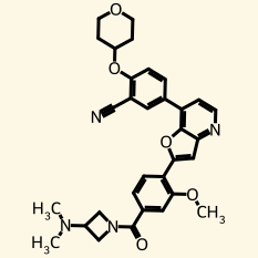 COc1cc(C(=O)N2CC(N(C)C)C2)ccc1-c1cc2nccc(-c3ccc(OC4CCOCC4)c(C#N)c3)c2o1